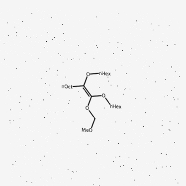 CCCCCCCCC(OCCCCCC)=C(OCCCCCC)OCOC